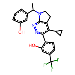 CC(c1cccc(O)c1)N1CCc2c1nnc(-c1ccc(C(F)(F)F)cc1O)c2C1CC1